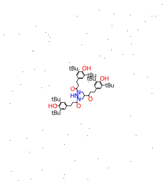 CC(C)(C)c1cc(CCC(=O)C2CN(C(=O)CCc3cc(C(C)(C)C)c(O)c(C(C)(C)C)c3)NN(C(=O)CCc3cc(C(C)(C)C)c(O)c(C(C)(C)C)c3)C2)cc(C(C)(C)C)c1O